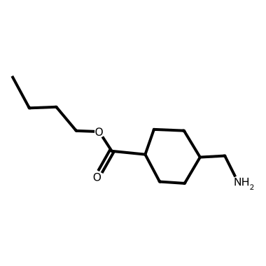 CCCCOC(=O)C1CCC(CN)CC1